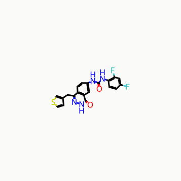 O=C(Nc1ccc2c(Cc3ccsc3)n[nH]c(=O)c2c1)Nc1ccc(F)cc1F